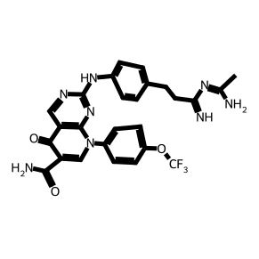 C/C(N)=N/C(=N)CCc1ccc(Nc2ncc3c(=O)c(C(N)=O)cn(-c4ccc(OC(F)(F)F)cc4)c3n2)cc1